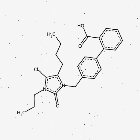 CCCCc1c(Cl)n(CCC)c(=O)n1Cc1ccc(-c2ccccc2C(=O)O)cc1